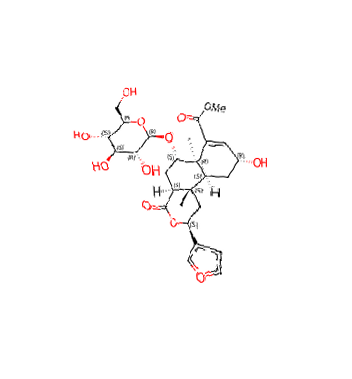 COC(=O)C1=C[C@H](O)C[C@H]2[C@]3(C)C[C@@H](c4ccoc4)OC(=O)[C@H]3C[C@H](O[C@@H]3O[C@H](CO)[C@@H](O)[C@H](O)[C@H]3O)[C@@]12C